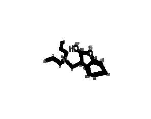 CCCN(CCC)CC1c2ccccc2OC1O